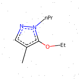 CCCn1n[c]c(C)c1OCC